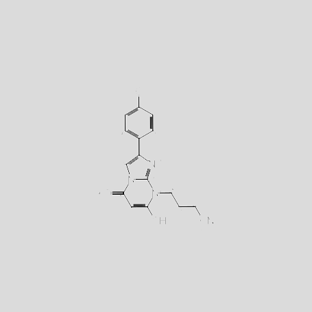 Cc1cc(=O)n2cc(-c3ccc(Cl)cc3)nc2n1CCCC#N